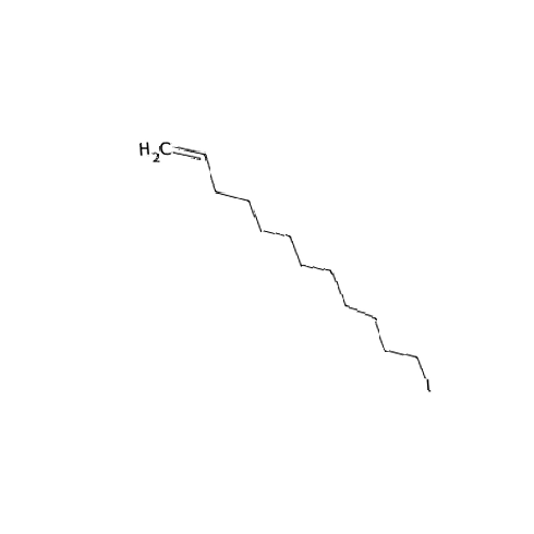 C=CCCCCCCCCCCI